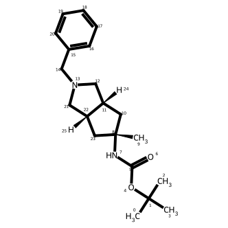 CC(C)(C)OC(=O)N[C@@]1(C)C[C@H]2CN(Cc3ccccc3)C[C@H]2C1